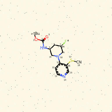 CC(C)(C)OC(=O)NC1C[C@@H](F)CN(c2ccncc2SC#N)C1